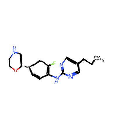 CCCc1cnc(NC2=C(F)CC([C@H]3CNCCO3)C=C2)nc1